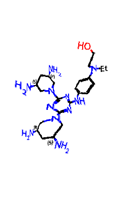 CCN(CCO)c1ccc(Nc2nc(N3C[C@H](N)C[C@H](N)C3)nc(N3C[C@H](N)C[C@H](N)C3)n2)cc1